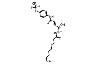 CCCCCCCCCCCCCCCCCC(=O)N[C@@H](CC)[C@H](O)/C=C/C(=O)Nc1ccc(OC(F)(F)C(F)(F)F)cc1